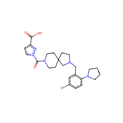 O=C(O)c1ccn(C(=O)N2CCC3(CCN(Cc4cc(Cl)ccc4N4CCCC4)C3)CC2)n1